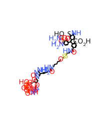 [N-]=[N+]=NCO[C@@H]1C[C@H](n2cc(C#CCNC(=O)NCCCCCOCSSCCNC(=O)c3ccc(C(=O)O)c(-c4c5ccc(=N)c(S(=O)(=O)O)c-5oc5c(S(=O)(=O)ON)c(N)ccc45)c3)c(N)nc2=O)O[C@@H]1COP(=O)(O)OP(=O)(O)OP(=O)(O)O